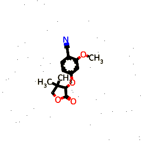 COc1cc(OC2C(=O)OCC2(C)C)ccc1C#N